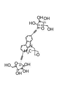 CC1(Cn2c3cc(C#C[C@H]4O[C@H](CO)[C@@H](O)[C@H](O)[C@@H]4O)ccc3c3ccc(C#C[C@H]4O[C@H](CO)[C@@H](O)[C@H](O)[C@@H]4O)cc32)COC1